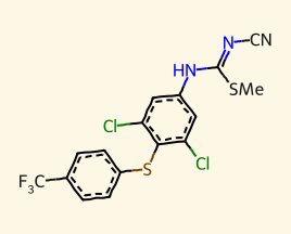 CS/C(=N\C#N)Nc1cc(Cl)c(Sc2ccc(C(F)(F)F)cc2)c(Cl)c1